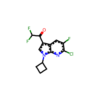 O=C(c1cn(C2CCC2)c2nc(Cl)c(F)cc12)C(F)F